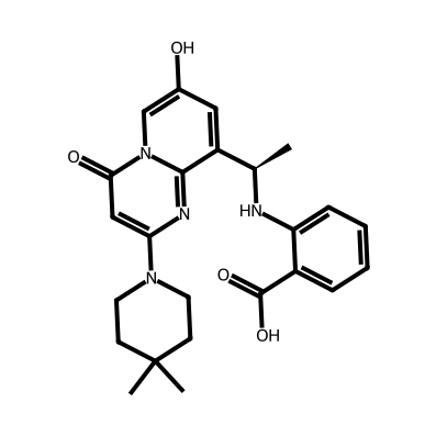 C[C@@H](Nc1ccccc1C(=O)O)c1cc(O)cn2c(=O)cc(N3CCC(C)(C)CC3)nc12